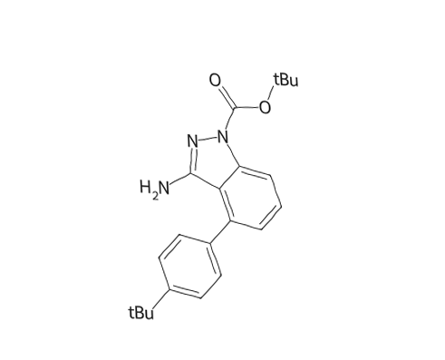 CC(C)(C)OC(=O)n1nc(N)c2c(-c3ccc(C(C)(C)C)cc3)cccc21